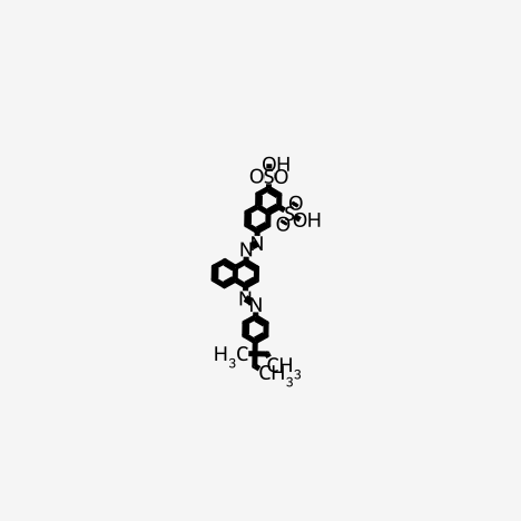 CCC(C)(CC)c1ccc(N=Nc2ccc(N=Nc3ccc4cc(S(=O)(=O)O)cc(S(=O)(=O)O)c4c3)c3ccccc23)cc1